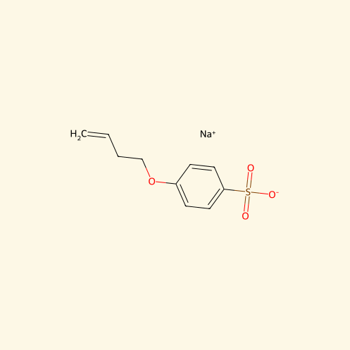 C=CCCOc1ccc(S(=O)(=O)[O-])cc1.[Na+]